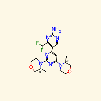 C[C@H]1COCCN1c1cc(-c2cnc(N)nc2C(F)F)nc(N2CCOC[C@@H]2C)n1